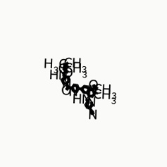 CC(=O)N1c2ccc(-c3ccc(C(=O)N4CCC(NC(=O)OC(C)(C)C)CC4)nc3)cc2[C@H](Nc2ccc(C#N)cn2)C[C@@H]1C